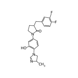 CC1CN(c2ccc(N3CCC(Cc4ccc(F)c(F)c4)C3=O)cc2O)C=N1